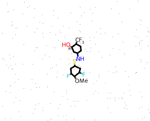 COC1C(F)CC(SNC2CCC(C(F)(F)F)[C@H](O)C2)CC1F